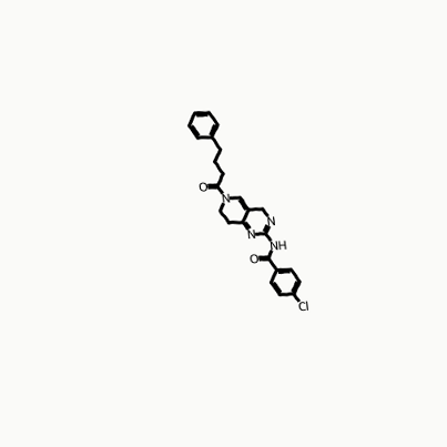 O=C(NC1=NCC2=CN(C(=O)CCCc3ccccc3)CCC2=N1)c1ccc(Cl)cc1